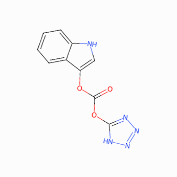 O=C(Oc1nnn[nH]1)Oc1c[nH]c2ccccc12